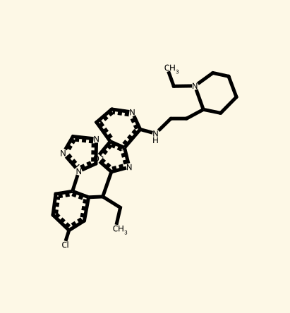 CCC(c1nc2c(NCCC3CCCCN3CC)nccc2o1)c1cc(Cl)ccc1-n1cncn1